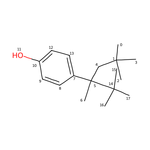 CC(C)(C)CC(C)(c1ccc(O)cc1)C(C)(C)C